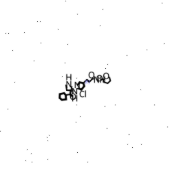 O=C(/C=C/c1cnc(N[C@]2(C(=O)c3ccccc3)CCNC2)c(Cl)c1)NOC1CCCCO1